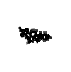 CCOC(=O)c1cn(C2CC2)c2c(OC(F)F)c(-c3cc4n(c3)CCN(C)C4)ccc2c1=O